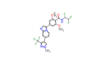 COc1cc(-c2cnc3cc(-c4cn(C)nc4C(F)(F)F)ccn23)cc(OC)c1C(=O)NC(F)C(F)F